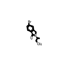 CC(CO)N1Cc2cc(Br)ccc2C1=O